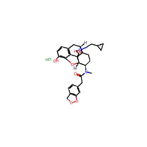 CN(C(=O)Cc1ccc2c(c1)OOC2)[C@@H]1CC[C@@]2(O)[C@H]3Cc4ccc(O)c5c4[C@@]2(CCN3CC2CC2)[C@H]1O5.Cl